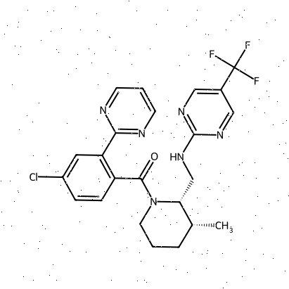 C[C@@H]1CCCN(C(=O)c2ccc(Cl)cc2-c2ncccn2)[C@@H]1CNc1ncc(C(F)(F)F)cn1